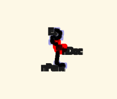 CC/C=C\C/C=C\C/C=C\C/C=C\C/C=C\C/C=C\CCC(=O)OC[C@@H](COC(=O)CCCCCCCCCCC)OC(=O)CCCCCCCC/C=C\C/C=C\C/C=C\CCCCC